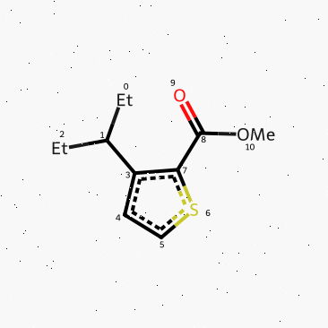 CCC(CC)c1ccsc1C(=O)OC